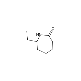 CCC1CCCCC(=O)N1